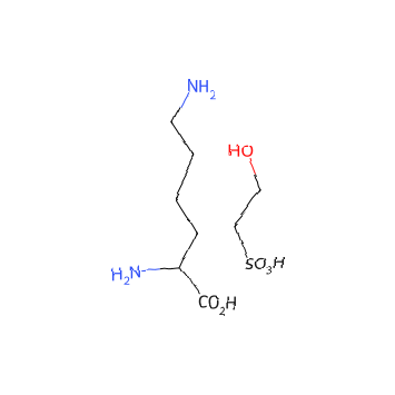 NCCCCC(N)C(=O)O.O=S(=O)(O)CCO